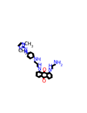 Cn1cc[n+](C)c1/N=N/c1ccc(NCCCNc2cccc3c2C(=O)c2c(NCCCN)cccc2C3=O)cc1